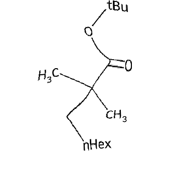 CCCCCCCC(C)(C)C(=O)OC(C)(C)C